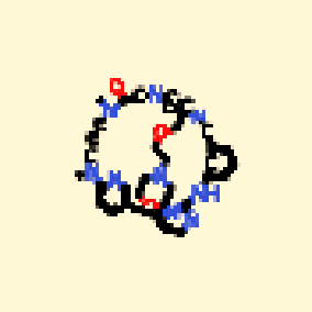 CN1CCCN(C)c2ccc(cn2)-c2ccnc(n2)Nc2cccc(c2)CN2CCN(CC1=O)CC2COCCN1CCOCC1